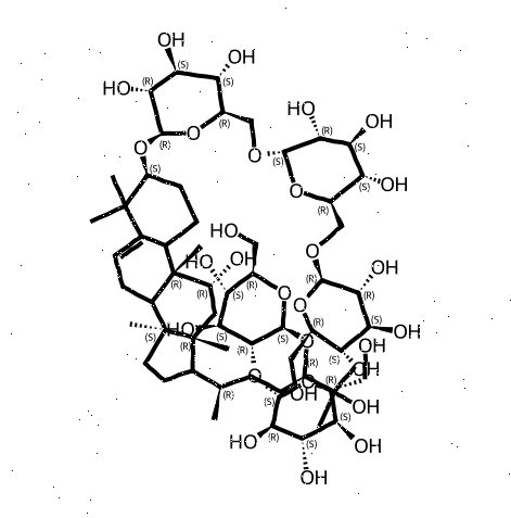 C[C@H](CC[C@@H](O[C@@H]1O[C@H](CO)[C@@H](O)[C@H](O)[C@H]1O[C@@H]1O[C@H](CO)[C@@H](O)[C@H](O)[C@H]1O)C(C)(C)O)C1CC[C@@]2(C)C3CC=C4C(CC[C@H](O[C@@H]5O[C@H](CO[C@H]6O[C@H](CO[C@@H]7O[C@H](CO)[C@@H](O)[C@H](O)[C@H]7O)[C@@H](O)[C@H](O)[C@H]6O)[C@@H](O)[C@H](O)[C@H]5O)C4(C)C)[C@]3(C)[C@H](O)C[C@]12C